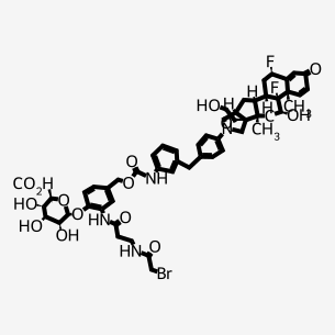 C[C@]12C=CC(=O)C=C1[C@@H](F)C[C@H]1[C@@H]3C[C@H]4CN(c5ccc(Cc6cccc(NC(=O)OCc7ccc(O[C@@H]8O[C@H](C(=O)O)[C@@H](O)[C@H](O)[C@H]8O)c(NC(=O)CCNC(=O)CBr)c7)c6)cc5)C[C@@]4(C(=O)CO)[C@@]3(C)C[C@H](O)[C@@]12F